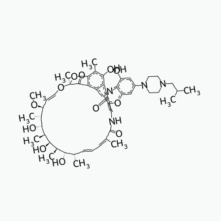 CO[C@H]1/C=C/O[C@@]2(C)Oc3c(C)c(O)c4c(=O)c(c5oc6cc(N7CCN(CC(C)C)CC7)cc(O)c6nc-5c4c3C2=O)NC(=O)/C(C)=C\C=C\[C@H](C)[C@H](O)[C@@H](C)[C@@H](O)[C@@H](C)[C@H](O)[C@@H]1C